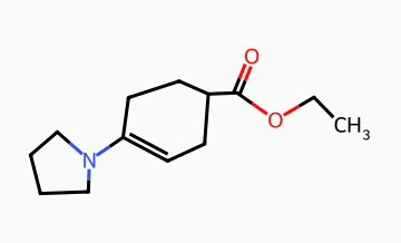 CCOC(=O)C1CC=C(N2CCCC2)CC1